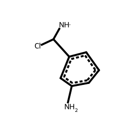 [NH]C(Cl)c1cccc(N)c1